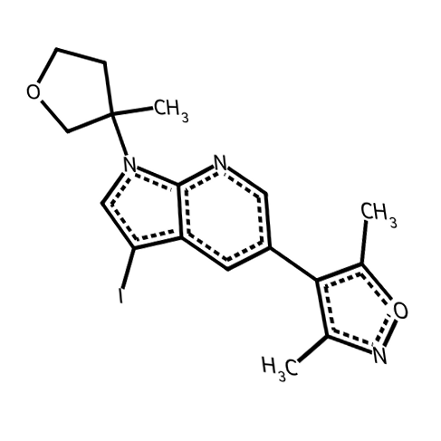 Cc1noc(C)c1-c1cnc2c(c1)c(I)cn2C1(C)CCOC1